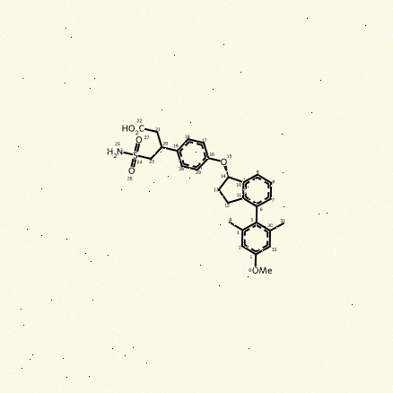 COc1cc(C)c(-c2cccc3c2CC[C@H]3Oc2ccc(C(CC(=O)O)CS(N)(=O)=O)cc2)c(C)c1